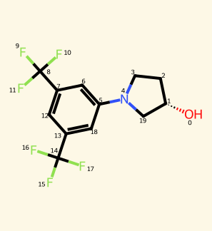 O[C@H]1CCN(c2cc(C(F)(F)F)cc(C(F)(F)F)c2)C1